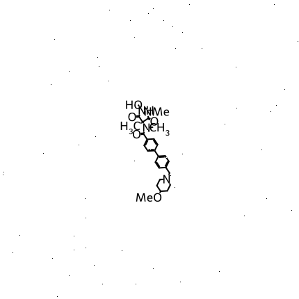 CNC(=O)[C@@](C)(C(=O)NO)N(C)C(=O)c1ccc(-c2ccc(CN3CCC(OC)CC3)cc2)cc1